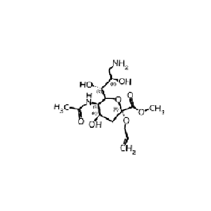 C=CCO[C@]1(C(=O)OC)C[C@@H](O)[C@@H](NC(C)=O)C([C@H](O)[C@H](O)CN)O1